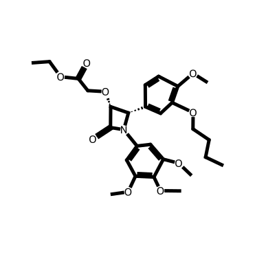 CCCCOc1cc([C@H]2[C@@H](OCC(=O)OCC)C(=O)N2c2cc(OC)c(OC)c(OC)c2)ccc1OC